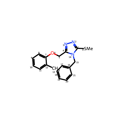 CSc1nnc(COc2ccccc2C)n1Cc1ccccc1